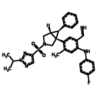 Cc1cc(Nc2ccc(F)cc2)c(C=N)cc1[C@@]12CN(S(=O)(=O)c3cnn(C(C)C)n3)C[C@@H]1[C@H]2c1ccccc1